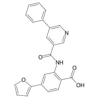 O=C(Nc1cc(-c2ccco2)ccc1C(=O)O)c1cncc(-c2ccccc2)c1